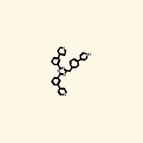 C1=CC(Cc2nc(C3=CC(C4=CC=NCC4)=CCC3)nc(-c3cccc(-c4ccncc4)c3)n2)=CCC(C2=CCNC=C2)=C1